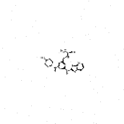 CC(NCc1cc(Nc2nc3cccnc3s2)nc(N[C@H]2CC[C@H](O)CC2)c1)C(C)(C)C